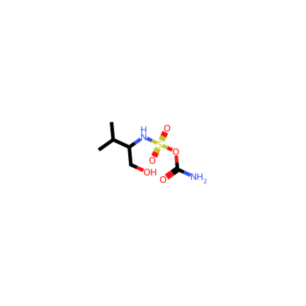 CC(C)C(CO)NS(=O)(=O)OC(N)=O